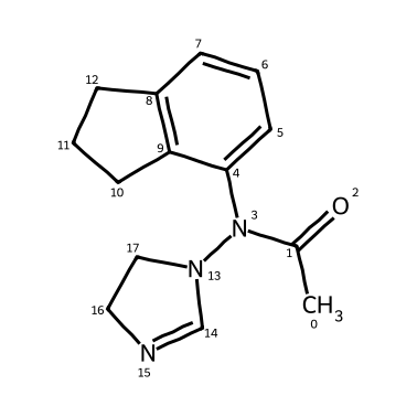 CC(=O)N(c1cccc2c1CCC2)N1C=NCC1